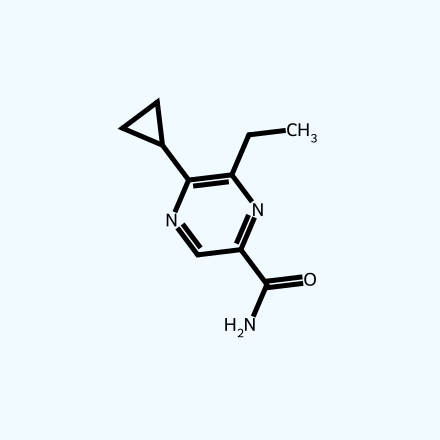 CCc1nc(C(N)=O)cnc1C1CC1